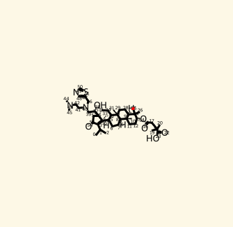 CC(C)C1=C2[C@H]3CC[C@@H]4[C@@]5(C)CC[C@@H](OC(=O)CC(C)(C)C(=O)O)C(C)(C)[C@@H]5CC[C@@]4(C)[C@]3(C)CC[C@@]2([C@@H](O)CN(CCN(C)C)Cc2cncs2)CC1=O